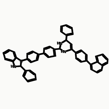 C1=C(c2ccc(-c3cccc4ccccc34)cc2)NC(c2ccc(-c3ccc(N4c5ccccc5NC4c4ccccc4)cc3)cc2)NC1c1ccccc1